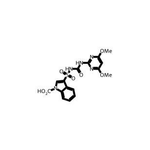 COc1cc(OC)nc(NC(=O)NS(=O)(=O)c2cn(C(=O)O)c3ccccc23)n1